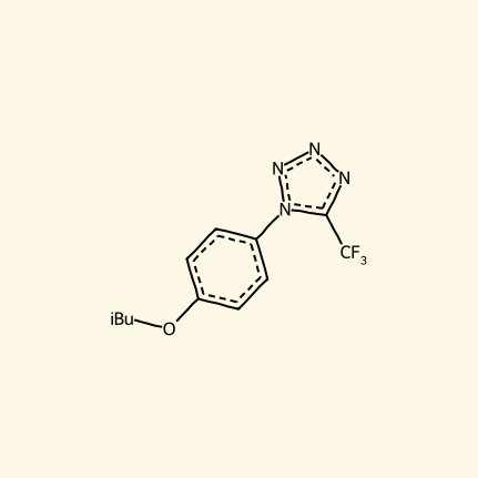 CCC(C)Oc1ccc(-n2nnnc2C(F)(F)F)cc1